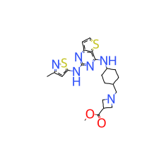 COC(=O)C1CN(CC2CCC(Nc3nc(Nc4cc(C)ns4)nc4ccsc34)CC2)C1